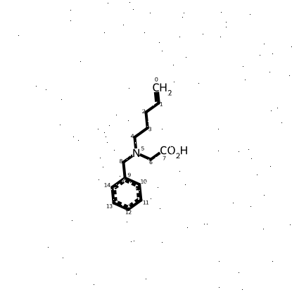 C=CCCCN(CC(=O)O)Cc1ccccc1